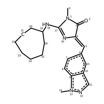 CN1C(=O)/C(=C/c2ccc3c(cnn3C)c2)N=C1NC1CCCCCCC1